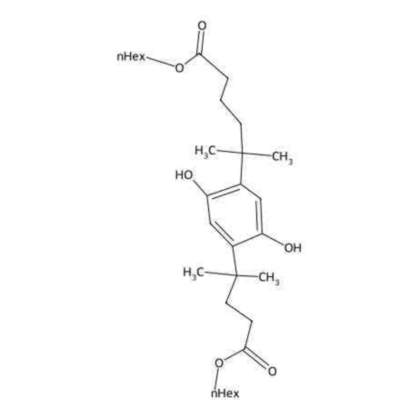 CCCCCCOC(=O)CCCC(C)(C)c1cc(O)c(C(C)(C)CCC(=O)OCCCCCC)cc1O